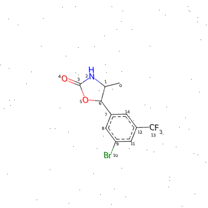 CC1NC(=O)OC1c1cc(Br)cc(C(F)(F)F)c1